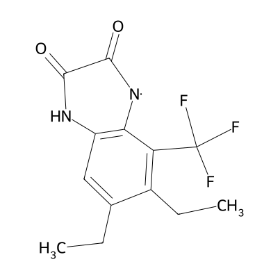 CCc1cc2c(c(C(F)(F)F)c1CC)[N]C(=O)C(=O)N2